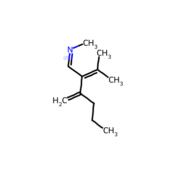 C=C(CCC)C(/C=N\C)=C(C)C